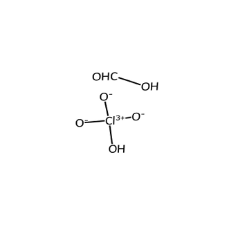 O=CO.[O-][Cl+3]([O-])([O-])O